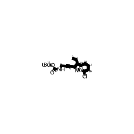 C=Cc1c(C#CCNC(=O)OC(C)(C)C)nn2c(Cl)cccc12